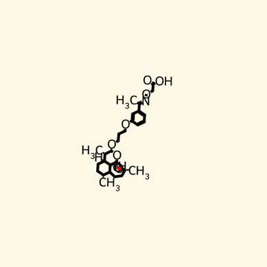 C/C(=N\OCC(=O)O)c1cccc(OCCCO[C@H]2O[C@@H]3O[C@@]4(C)CCC5[C@H](C)CC[C@@H]([C@H]2C)[C@]53OO4)c1